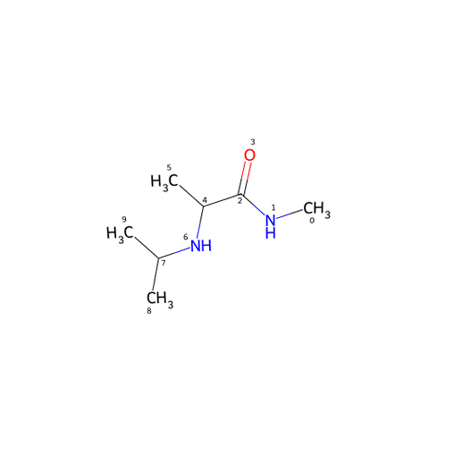 CNC(=O)C(C)NC(C)C